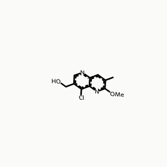 COc1nc2c(Cl)c(CO)cnc2cc1C